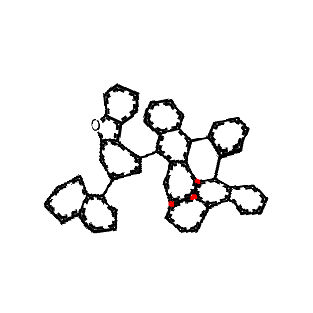 c1ccc(-c2cc3ccccc3c3ccccc23)c(-c2c3ccccc3c(-c3cc(-c4cccc5ccccc45)cc4oc5ccccc5c34)c3ccccc23)c1